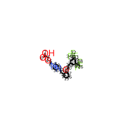 O=C(O)COCCN1CCN(CCc2ccccc2OCCc2cc(C(F)(F)F)cc(C(F)(F)F)c2)CC1